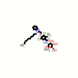 C#CCCCCCCCCn1c(COc2c(Cl)cc(C(=O)N[C@H]3[C@@H](OC)O[C@H](CO)[C@@H](O)[C@@H]3O)c(C)c2Cl)nc2ccccc21